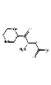 N[C@@H](CC(=O)O)C(=O)C1CNCCO1